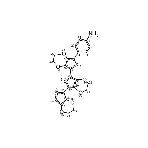 Nc1ccc(-c2sc(-c3sc(-c4scc5c4OCCO5)c4c3OCCO4)c3c2OCCO3)cc1